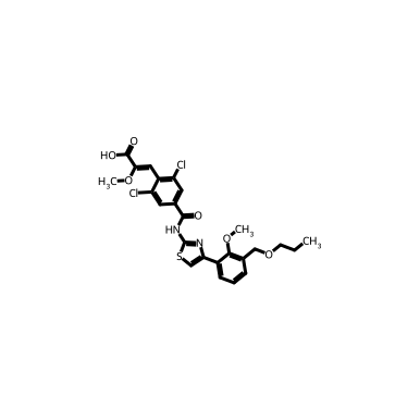 CCCOCc1cccc(-c2csc(NC(=O)c3cc(Cl)c(C=C(OC)C(=O)O)c(Cl)c3)n2)c1OC